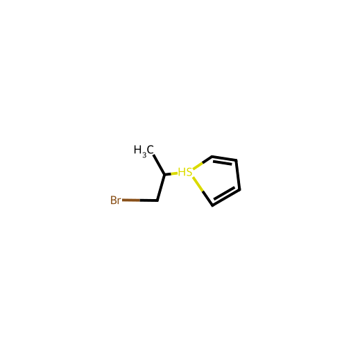 CC(CBr)[SH]1C=CC=C1